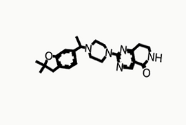 CC(c1ccc2c(c1)OC(C)(C)C2)N1CCN(c2ncc3c(n2)CCNC3=O)CC1